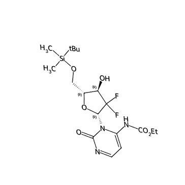 CCOC(=O)Nc1ccnc(=O)n1[C@@H]1O[C@H](CO[Si](C)(C)C(C)(C)C)[C@@H](O)C1(F)F